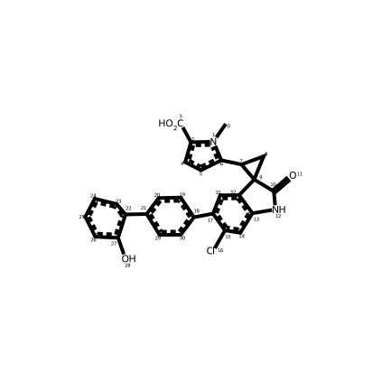 Cn1c(C(=O)O)ccc1C1CC12C(=O)Nc1cc(Cl)c(-c3ccc(-c4ccccc4O)cc3)cc12